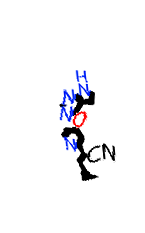 N#C/C(=C\C1CC1)c1cc(Oc2ncnc3[nH]ccc23)ccn1